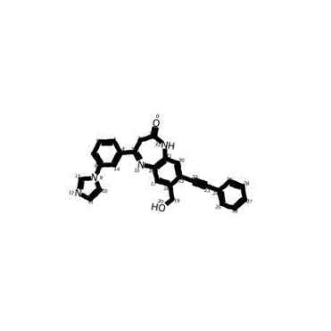 O=C1CC(c2cccc(-n3ccnc3)c2)=Nc2cc(CO)c(C#Cc3ccccc3)cc2N1